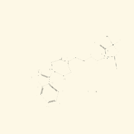 CC1SC(C)(C)C(=O)N1CCCCN1CCN(c2nsc3ccccc23)CC1.Cl